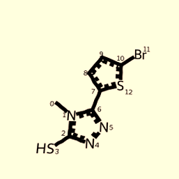 Cn1c(S)nnc1-c1ccc(Br)s1